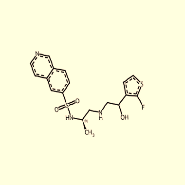 C[C@H](CNCC(O)c1ccsc1F)NS(=O)(=O)c1ccc2cnccc2c1